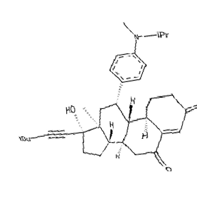 CC(C)N(C)c1ccc([C@H]2C[C@@]3(C)[C@@H](CC[C@@]3(O)C#CC(C)(C)C)[C@@H]3CC(=O)C4=CC(=O)CC[C@@H]4[C@H]32)cc1